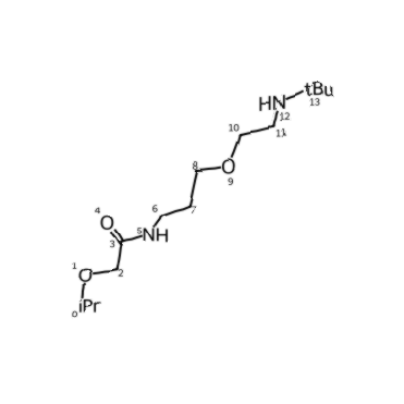 CC(C)OCC(=O)NCCCOCCNC(C)(C)C